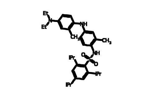 CCN(CC)c1ccc(Nc2ccc(NS(=O)(=O)c3c(C(C)C)cc(C(C)C)cc3C(C)C)c(C)c2)c(C)c1